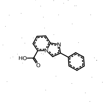 O=C(O)c1cccc2nc(-c3ccccc3)cn12